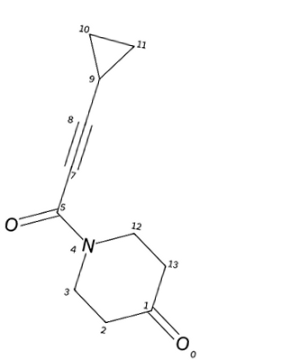 O=C1CCN(C(=O)C#CC2CC2)CC1